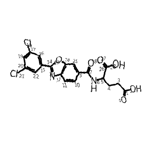 O=C(O)CCC(NC(=O)c1ccc2nc(-c3cc(Cl)cc(Cl)c3)oc2c1)C(=O)O